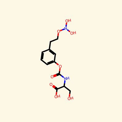 O=C(NC(CO)C(=O)O)Oc1cccc(CCON(O)O)c1